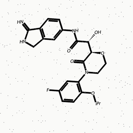 CC(C)Oc1ccc(F)cc1N1CCO[C@H]([C@@H](O)C(=O)Nc2ccc3c(c2)CNC3=N)C1=O